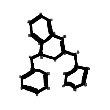 c1ccc(CN2CC(Sc3ccccc3)=Nc3ccccc32)cc1